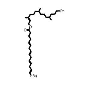 CCCC/C=C/C/C=C/C/C=C/C/C=C/CCCC(=O)OC/C=C(\C)CCCC(C)CCCC(C)CCCC(C)C